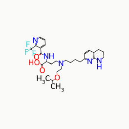 CC(C)OCCN(CCCCc1ccc2c(n1)NCCC2)CC[C@H](NC(=O)c1cccnc1C(F)(F)F)C(=O)O